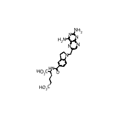 Nc1nc(N)c2nc(CN3CCc4cc(C(=O)NC(CCCC(=O)O)C(=O)O)ccc43)cnc2n1